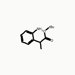 CC(C(=O)OC(C)(C)C)c1ccccc1N